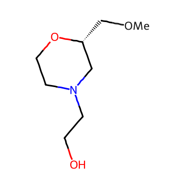 COC[C@@H]1CN(CCO)CCO1